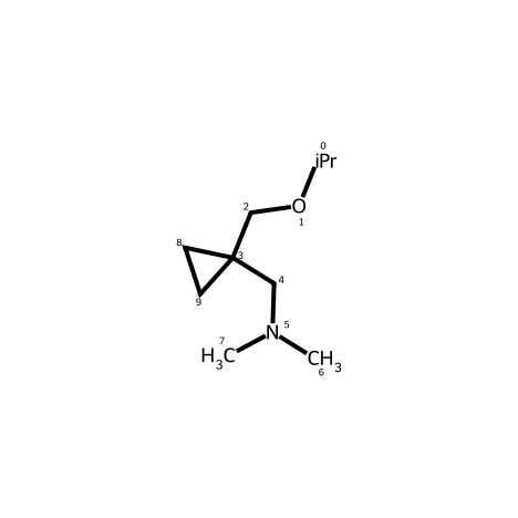 CC(C)OCC1(CN(C)C)CC1